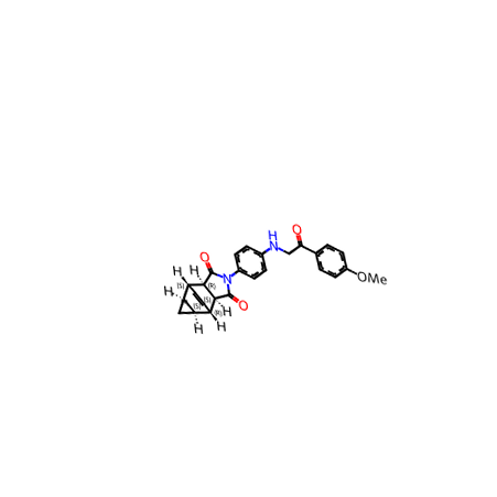 COc1ccc(C(=O)CNc2ccc(N3C(=O)[C@@H]4[C@@H]5C=C[C@@H]([C@H]6C[C@@H]56)[C@@H]4C3=O)cc2)cc1